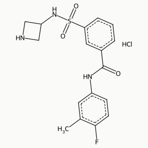 Cc1cc(NC(=O)c2cccc(S(=O)(=O)NC3CNC3)c2)ccc1F.Cl